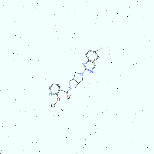 CCOc1ncccc1C(=O)N1CC2CN(c3ncc4cc(F)ccc4n3)CC2C1